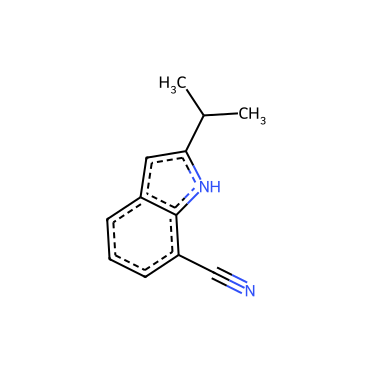 CC(C)c1cc2cccc(C#N)c2[nH]1